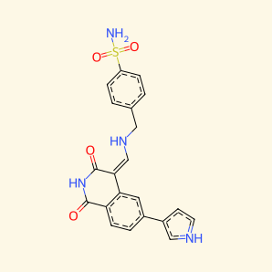 NS(=O)(=O)c1ccc(CNC=C2C(=O)NC(=O)c3ccc(-c4cc[nH]c4)cc32)cc1